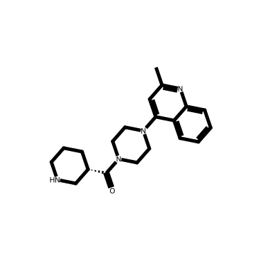 Cc1cc(N2CCN(C(=O)[C@H]3CCCNC3)CC2)c2ccccc2n1